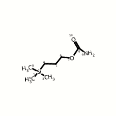 C[Si](C)(C)CCCOC(N)=O